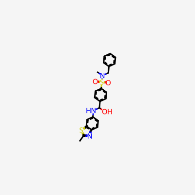 Cc1nc2ccc(NC(O)c3ccc(S(=O)(=O)N(C)Cc4ccccc4)cc3)cc2s1